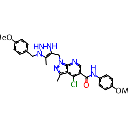 COc1ccc(CN2NNC(Cn3nc(C)c4c(Cl)c(C(=O)Nc5ccc(OC)cc5)cnc43)=C2C)cc1